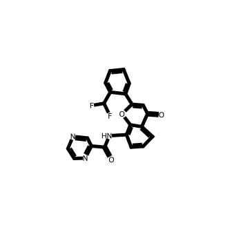 O=C(Nc1cccc2c(=O)cc(-c3ccccc3C(F)F)oc12)c1cnccn1